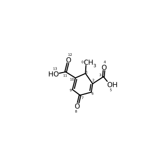 CC1C(C(=O)O)=CC(=O)C=C1C(=O)O